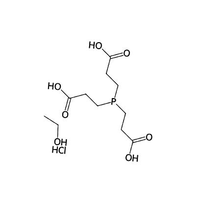 CCO.Cl.O=C(O)CCP(CCC(=O)O)CCC(=O)O